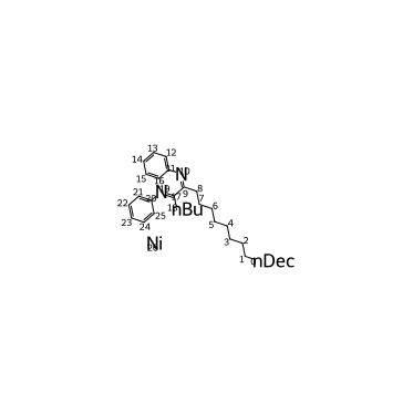 CCCCCCCCCCCCCCCCCCC(=Nc1ccccc1)C(CCCC)=Nc1ccccc1.[Ni]